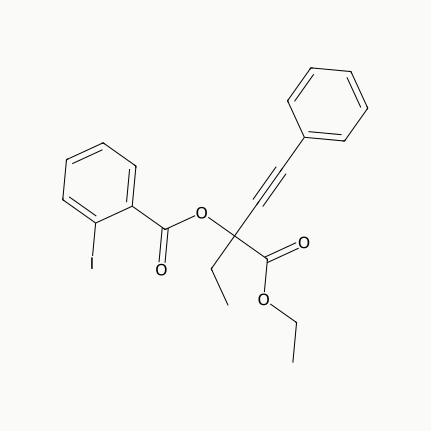 CCOC(=O)C(C#Cc1ccccc1)(CC)OC(=O)c1ccccc1I